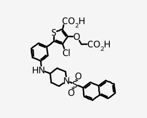 O=C(O)COc1c(C(=O)O)sc(-c2cccc(NC3CCN(S(=O)(=O)c4ccc5ccccc5c4)CC3)c2)c1Cl